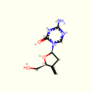 C=C1C[C@H](n2cnc(N)nc2=O)O[C@@H]1CO